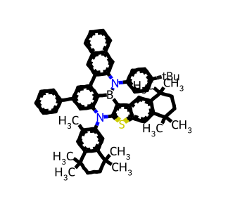 Cc1cc2c(cc1N1c3cc(-c4ccccc4)cc4c3B(c3c1sc1cc5c(cc31)C(C)(C)CCC5(C)C)N(c1ccc(C(C)(C)C)cc1)c1cc3ccccc3cc1-4)C(C)(C)CCC2(C)C